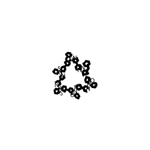 c1ccc2c(c1)Cc1ccccc1N2c1cc(-c2ccnc(N3c4ccccc4Cc4cc(-c5ccc6c(c5)Sc5ccccc5N6c5cc(-c6ccnc(N7c8ccccc8Sc8cc(-c9ccc%10c(c9)Oc9ccccc9N%10c9cc(-c%10ccnc(N%11c%12ccccc%12Oc%12ccccc%12%11)c%10)ccn9)ccc87)c6)ccn5)ccc43)c2)ccn1